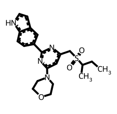 CCC(C)S(=O)(=O)Cc1cc(N2CCOCC2)nc(-c2ccc3[nH]ccc3c2)n1